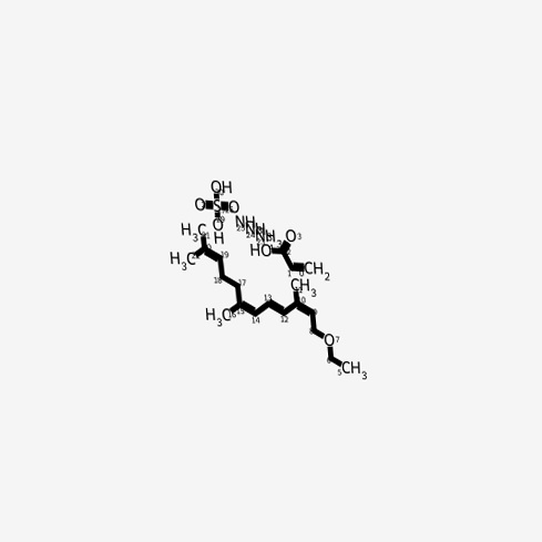 C=CC(=O)O.CCOCC=C(C)C=CC=C(C)CCC=C(C)C.N.N.N.O=S(=O)(O)O